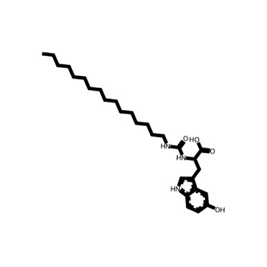 CCCCCCCCCCCCCCCCNC(=O)NC(Cc1c[nH]c2ccc(O)cc12)C(=O)O